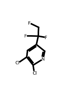 FCC(F)(F)c1cnc(Cl)c(Cl)c1